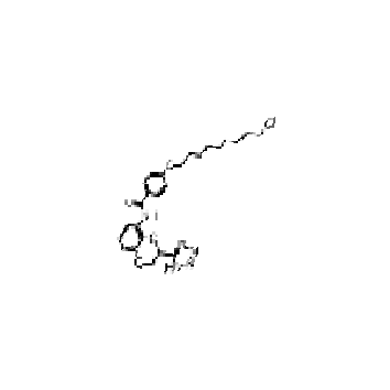 O=C(Nc1cccc2c1OC(c1nnn[nH]1)CO2)c1ccc(OCCCCCCCCCCl)cc1